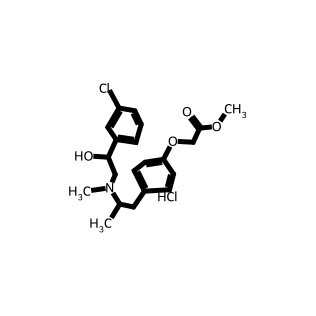 COC(=O)COc1ccc(CC(C)N(C)CC(O)c2cccc(Cl)c2)cc1.Cl